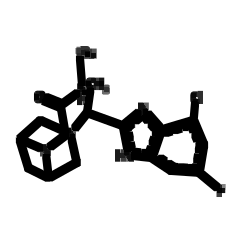 CC(c1nc2c(Cl)cc(F)cc2[nH]1)N1CC2CC(C1)N2CC(=O)NC(C)(C)C